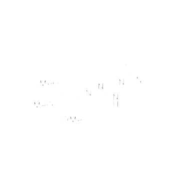 C=C(C)c1nc2c(c(Nc3cn(-c4cc(OC)c(OC)c(OC)c4)cn3)n1)CCCC2